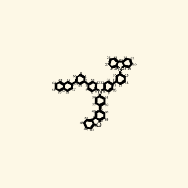 c1cc(-c2ccc(N(c3ccc(-c4cccc(-n5c6ccccc6c6ccccc65)c4)cc3)c3ccc(-c4ccc5oc6ccccc6c5c4)cc3)cc2)cc(-c2ccc3ccccc3c2)c1